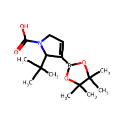 CC(C)(C)C1C(B2OC(C)(C)C(C)(C)O2)=CCN1C(=O)O